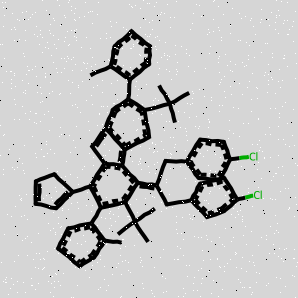 Cc1ccccc1-c1cc2c(cc1C(C)(C)C)=c1c(c(C3=CC=CC3)c(-c3ccccc3C)c(C(C)(C)C)c1=C(Cc1ccc(Cl)cc1)Cc1ccc(Cl)cc1)C=2